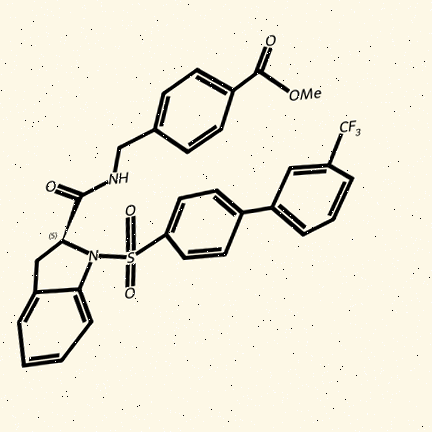 COC(=O)c1ccc(CNC(=O)[C@@H]2Cc3ccccc3N2S(=O)(=O)c2ccc(-c3cccc(C(F)(F)F)c3)cc2)cc1